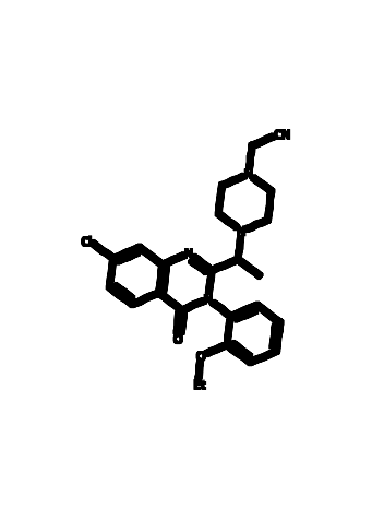 CCOc1ccccc1-n1c(C(C)N2CCN(CC#N)CC2)nc2cc(Cl)ccc2c1=O